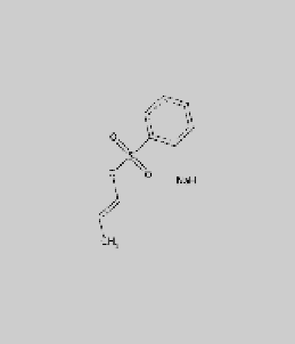 CC=COS(=O)(=O)c1ccccc1.[NaH]